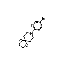 Brc1ccc(N2CCC3(CC2)OCCO3)nc1